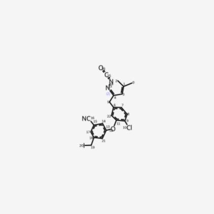 CC(C)=C/C(Cc1ccc(Cl)c(Oc2cc(C#N)cc(CI)c2)c1)=N\N=C=O